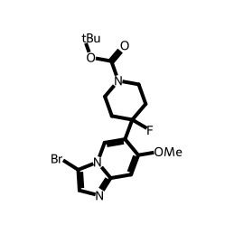 COc1cc2ncc(Br)n2cc1C1(F)CCN(C(=O)OC(C)(C)C)CC1